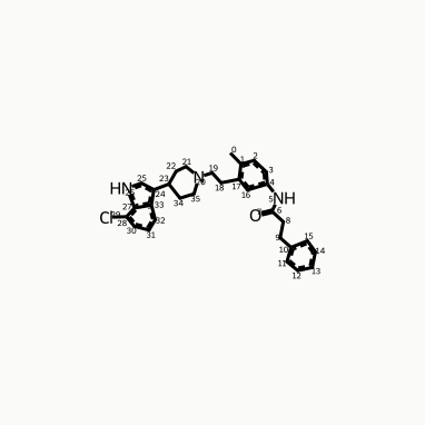 Cc1ccc(NC(=O)CCc2ccccc2)cc1CCN1CCC(c2c[nH]c3c(Cl)cccc23)CC1